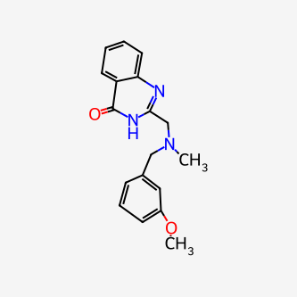 COc1cccc(CN(C)Cc2nc3ccccc3c(=O)[nH]2)c1